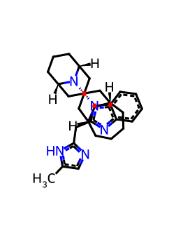 Cc1cnc(Cc2nc3ccccc3n2[C@H]2C[C@H]3CCC[C@@H](C2)N3[C@@H]2C[C@@H]3CCCC[C@@H](C3)C2)[nH]1